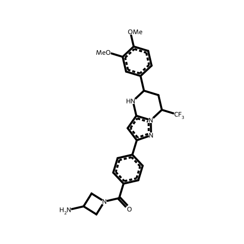 COc1ccc(C2CC(C(F)(F)F)n3nc(-c4ccc(C(=O)N5CC(N)C5)cc4)cc3N2)cc1OC